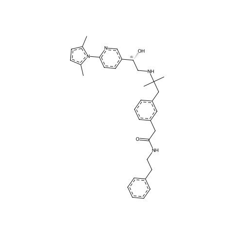 Cc1ccc(C)n1-c1ccc([C@H](O)CNC(C)(C)Cc2cccc(CC(=O)NCCc3ccccc3)c2)cn1